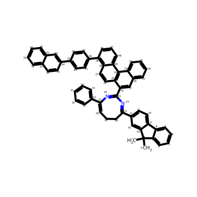 CC1(C)c2ccccc2-c2ccc(/C3=N/C(c4cc5ccccc5c5c4ccc4c(-c6ccc(-c7ccc8ccccc8c7)cc6)cccc45)=N\C(c4ccccc4)=C/CC3)cc21